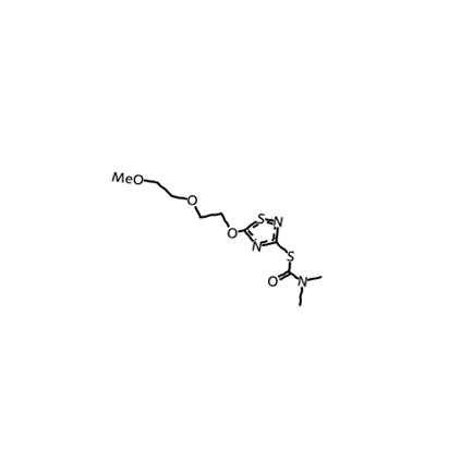 COCCOCCOc1nc(SC(=O)N(C)C)ns1